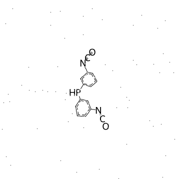 O=C=Nc1cccc(Pc2cccc(N=C=O)c2)c1